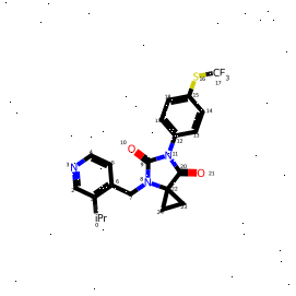 CC(C)c1cnccc1CN1C(=O)N(c2ccc(SC(F)(F)F)cc2)C(=O)C12CC2